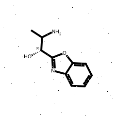 CC(N)[C@@H](O)c1nc2ccccc2o1